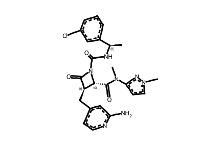 C[C@@H](NC(=O)N1C(=O)[C@H](Cc2ccnc(N)c2)[C@H]1C(=O)N(C)c1ccn(C)n1)c1cccc(Cl)c1